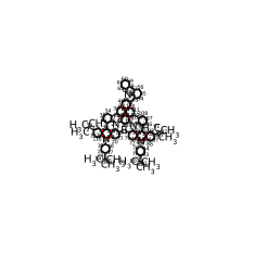 CC(C)(C)c1ccc(N(c2ccc(C(C)(C)C)cc2)c2ccc3c(c2)N(c2c(-c4ccccc4)cccc2-c2ccccc2)c2cc(-c4ccc5c(c4)c4cccc6c7ccccc7n5c64)cc4c2B3c2ccc(N(c3ccc(C(C)(C)C)cc3)c3ccc(C(C)(C)C)cc3)cc2N4c2c(-c3ccccc3)cccc2-c2ccccc2)cc1